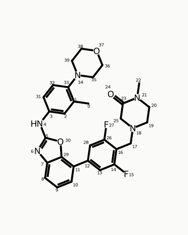 Cc1cc(Nc2nc3cccc(-c4cc(F)c(CN5CCN(C)C(=O)C5)c(F)c4)c3o2)ccc1N1CCOCC1